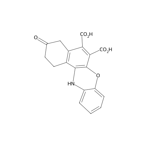 O=C1CCc2c(c(C(=O)O)c(C(=O)O)c3c2Nc2ccccc2O3)C1